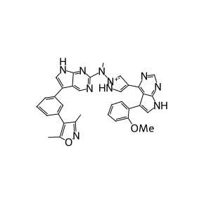 COc1ccccc1-c1c[nH]c2ncnc(-c3c[nH][n+](N(C)c4ncc5c(-c6cccc(-c7c(C)noc7C)c6)c[nH]c5n4)c3)c12